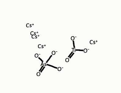 O=[As]([O-])([O-])[O-].[Cs+].[Cs+].[Cs+].[Cs+].[Cs+].[O]=[Ti]([O-])[O-]